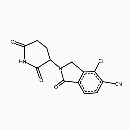 N#Cc1ccc2c(c1Cl)CN(C1CCC(=O)NC1=O)C2=O